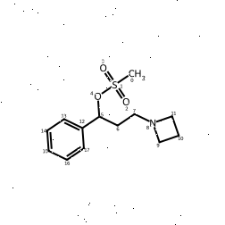 CS(=O)(=O)OC(CCN1CCC1)c1ccccc1